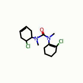 CN(C(=O)N(C)C1CC=CCC1Cl)C1=C(Cl)CCCC1